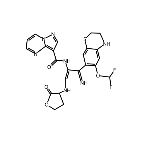 N=C(/C(=C\NC1CCOC1=O)NC(=O)c1cnn2cccnc12)c1cc2c(cc1OC(F)F)NCCS2